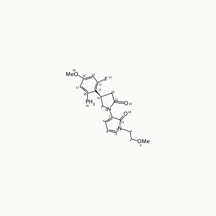 COCCn1cccc(N2C[C@@H](c3c(F)cc(OC)cc3P)CC2=O)c1=O